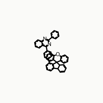 C1=CC2c3cccc(-c4ccc(-c5nc(-c6ccccc6)nc6ccccc56)cc4)c3C3(c4ccccc4Oc4ccccc43)C2C=C1